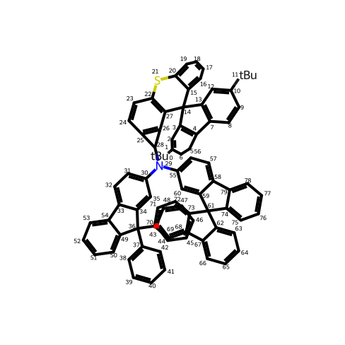 CC(C)(C)C1=CC2=C(CC1)c1ccc(C(C)(C)C)cc1C21c2ccccc2Sc2ccc3c(c21)C3N(c1ccc2c(c1)C(c1ccccc1)(c1ccccc1)c1ccccc1-2)c1ccc2c(c1)C1(c3ccccc3-c3ccccc31)c1ccccc1-2